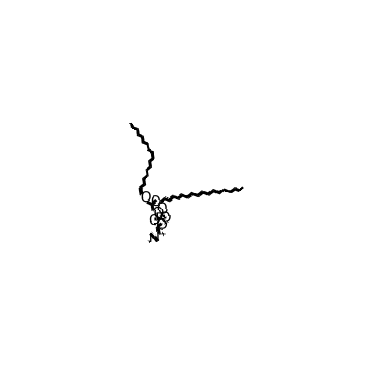 CCCCCCCC/C=C\CCCCCC/C=C\OCC(COP(=O)([O-])OCC[N+](C)(C)C)OC(=O)CCCCCCCCCCCCCCCCC